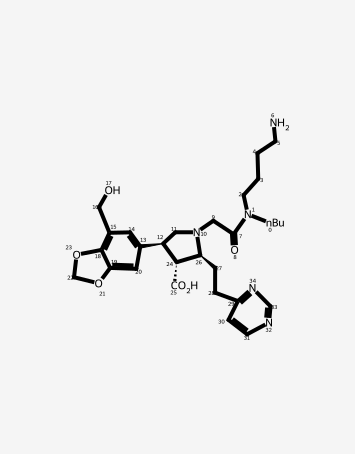 CCCCN(CCCCN)C(=O)CN1C[C@H](c2cc(CO)c3c(c2)OCO3)[C@@H](C(=O)O)[C@@H]1CCc1ccncn1